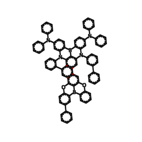 c1ccc(-c2cccc(N3c4cc(N(c5ccccc5)c5ccccc5)ccc4B4c5ccc(N(c6ccccc6)c6ccccc6)cc5N(c5ccccc5-c5ccccc5)c5cc(-c6cc7c8c(c6)Oc6ccc(-c9ccccc9)cc6B8c6ccccc6O7)cc3c54)c2)cc1